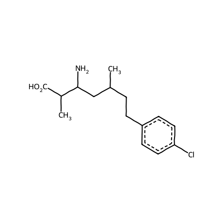 CC(CCc1ccc(Cl)cc1)CC(N)C(C)C(=O)O